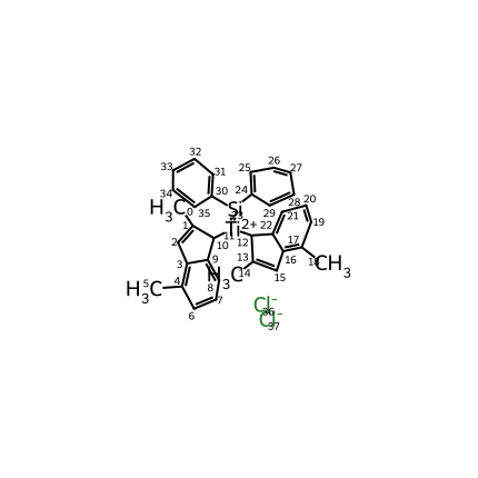 CC1=Cc2c(C)cccc2[CH]1[Ti+2]([CH]1C(C)=Cc2c(C)cccc21)=[Si](c1ccccc1)c1ccccc1.[Cl-].[Cl-]